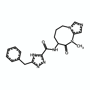 CN1C(=O)C(NC(=O)c2nnc(Cc3ccccc3)[nH]2)CCCn2cncc21